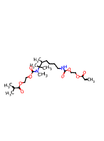 C=CC(=O)OCCOC(=O)NCCCCC(C)C(C)(C)N(C)C(=O)OCCOC(=O)C(=C)C